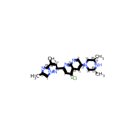 Cc1cn2nc(-c3cc(Cl)c4cc(N5C[C@@H](C)N[C@H](C)C5)cnc4n3)cc(C)c2n1